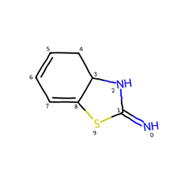 N=C1NC2CC=CC=C2S1